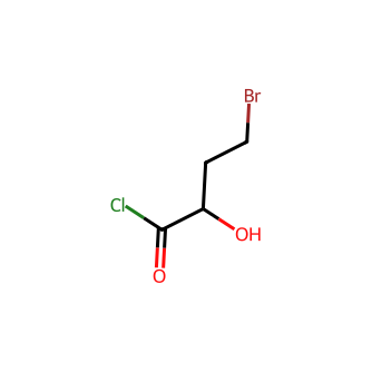 O=C(Cl)C(O)CCBr